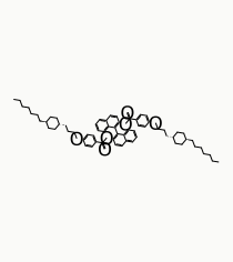 CCCCCCC[C@H]1CC[C@H](CCCOc2ccc(C(=O)Oc3ccc4ccccc4c3-c3c(OC(=O)c4ccc(OCCC[C@H]5CC[C@H](CCCCCCC)CC5)cc4)ccc4ccccc34)cc2)CC1